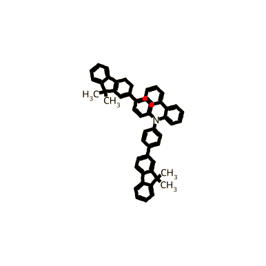 CC1(C)C2=C(CCC(c3ccc(N(c4ccc(-c5ccc6c(c5)C(C)(C)c5ccccc5-6)cc4)c4ccccc4-c4ccccc4)cc3)=C2)c2ccccc21